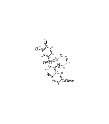 COc1ccc2ncc(S(=O)(=O)c3ccc(Cl)c(Cl)c3)c(N3CCOCC3)c2c1